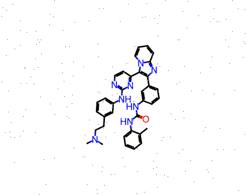 Cc1ccccc1NC(=O)Nc1cccc(-c2nc3ccccn3c2-c2ccnc(Nc3cccc(CCN(C)C)c3)n2)c1